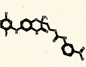 CC1(CCOC(=O)Nc2cccc([N+](=O)[O-])c2)Oc2ccc(Nc3nc(Cl)ncc3F)cc2NC1=O